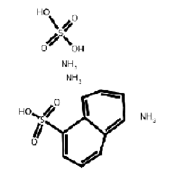 N.N.N.O=S(=O)(O)O.O=S(=O)(O)c1cccc2ccccc12